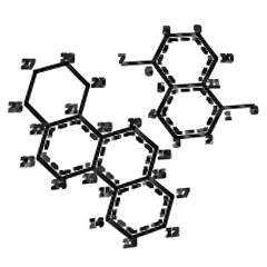 Cc1cccc2c(C)cccc12.c1ccc2c(c1)ccc1c3c(ccc12)CCCC3